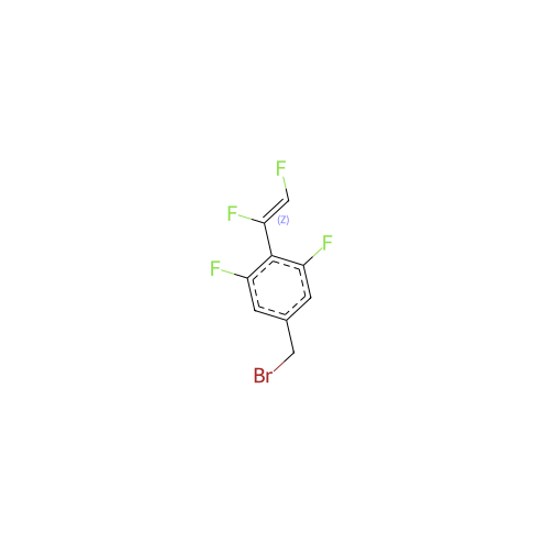 F/C=C(\F)c1c(F)cc(CBr)cc1F